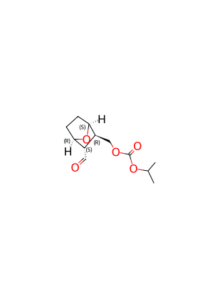 CC(C)OC(=O)OC[C@H]1[C@H](C=O)[C@H]2CC[C@@H]1O2